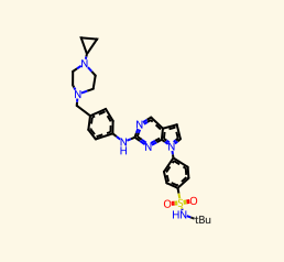 CC(C)(C)NS(=O)(=O)c1ccc(-n2ccc3cnc(Nc4ccc(CN5CCN(C6CC6)CC5)cc4)nc32)cc1